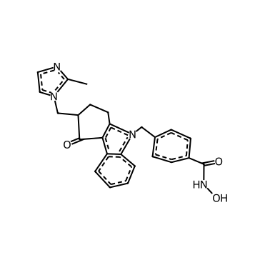 Cc1nccn1CC1CCc2c(c3ccccc3n2Cc2ccc(C(=O)NO)cc2)C1=O